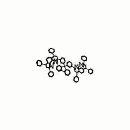 c1ccc(-c2cc(-c3ccccc3)c3ccc4c(-c5ccccc5)cc(-c5cccc(C6(c7cccc(-c8cc(-c9ccccc9)c9ccc%10c(-c%11ccccc%11)cc(-c%11ccccc%11)nc%10c9n8)c7)c7ccccc7-c7ccccc76)c5)nc4c3n2)cc1